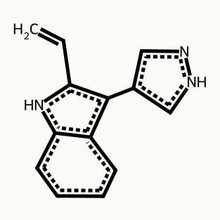 C=Cc1[nH]c2ccccc2c1-c1cn[nH]c1